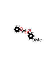 COC1CCC(C(=O)OCCOc2ccccc2)CC1